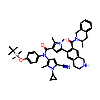 Cc1c(C(=O)N(c2ccc(O[Si](C)(C)C(C)(C)C)cc2)c2cc(C#N)n(C3CC3)c2C)cc(-c2cc3c(cc2C(=O)N2Cc4ccccc4C[C@H]2C)CNCC3)n1C